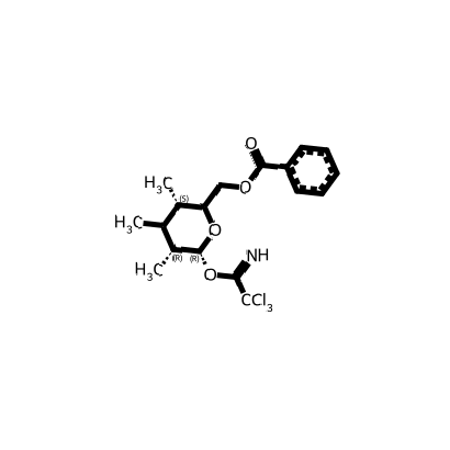 CC1[C@H](C)C(COC(=O)c2ccccc2)O[C@H](OC(=N)C(Cl)(Cl)Cl)[C@@H]1C